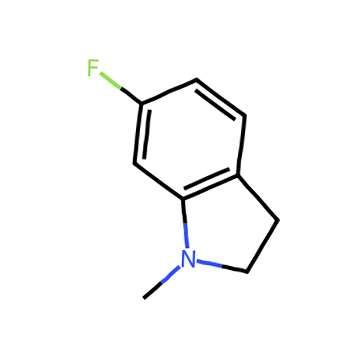 CN1CCc2ccc(F)cc21